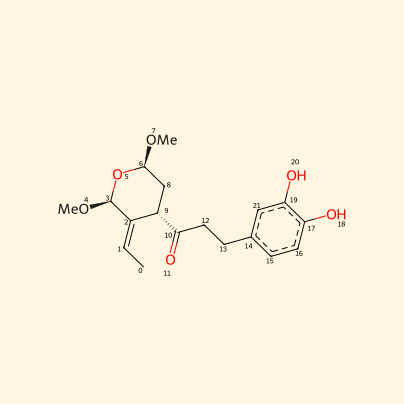 C/C=C1/[C@@H](OC)O[C@@H](OC)C[C@@H]1C(=O)CCc1ccc(O)c(O)c1